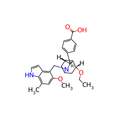 CCO[C@@H]1CC2CCC1[C@@H](c1ccc(C(=O)O)cc1)N2Cc1c(OC)cc(C)c2[nH]ccc12